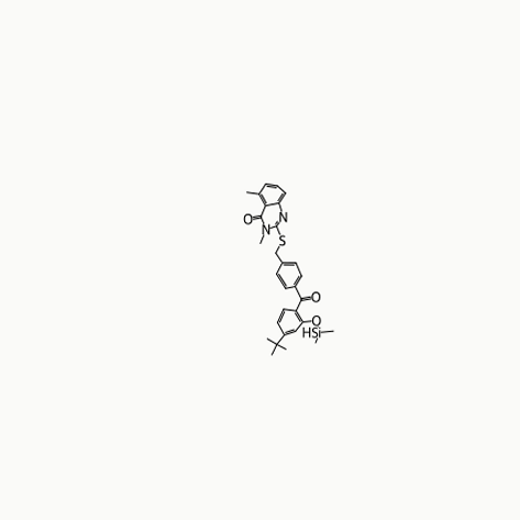 Cc1cccc2nc(SCc3ccc(C(=O)c4ccc(C(C)(C)C)cc4O[SiH](C)C)cc3)n(C)c(=O)c12